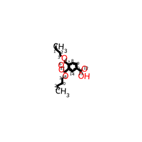 CCCCOC(=O)c1ccc(C(=O)O)cc1C(=O)OCCCC